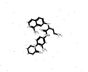 CCCC(Oc1ccc2ccnc(N)c2c1)C(=O)Nc1ccc(N2CCCCC2=O)c(C)c1